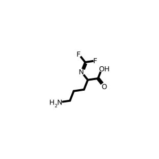 NCCCC(N=C(F)F)C(=O)O